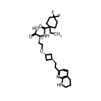 CCC1(C(=O)N[C@@H](CCO[C@H]2C[C@H](CCc3ccc4c(n3)NCCC4)C2)C(=O)O)CCC(F)(F)CC1